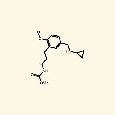 CCOc1ccc(CNC2CC2)cc1CCCNC(=O)OC